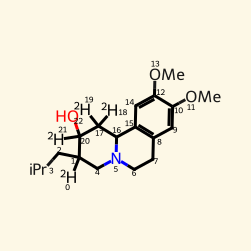 [2H]C1(CC(C)C)CN2CCc3cc(OC)c(OC)cc3C2C([2H])([2H])C1([2H])O